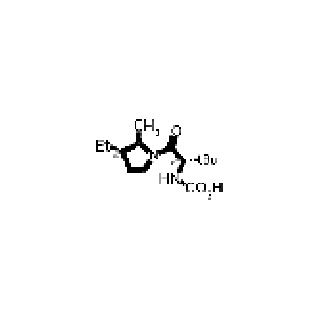 CC[C@@H]1CCN(C(=O)[C@@H](NC(=O)O)C(C)(C)C)C1C